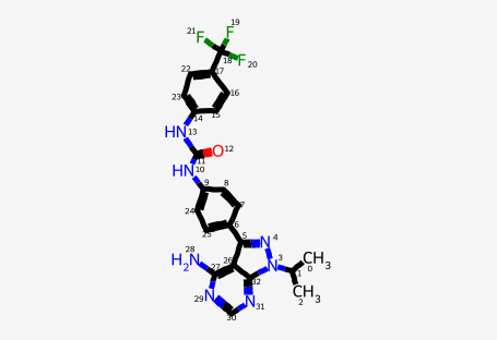 CC(C)n1nc(-c2ccc(NC(=O)Nc3ccc(C(F)(F)F)cc3)cc2)c2c(N)ncnc21